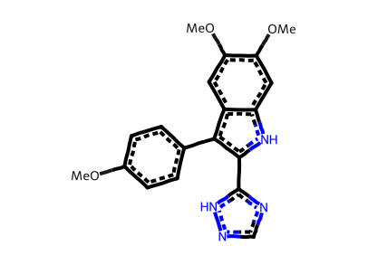 COc1ccc(-c2c(-c3ncn[nH]3)[nH]c3cc(OC)c(OC)cc23)cc1